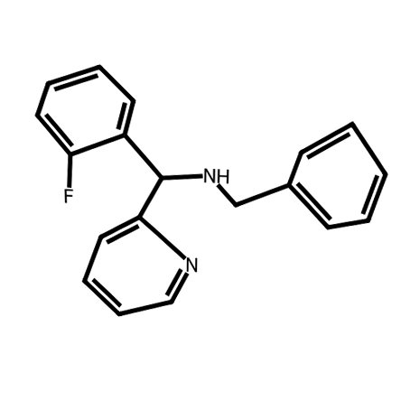 Fc1ccccc1C(NCc1ccccc1)c1ccccn1